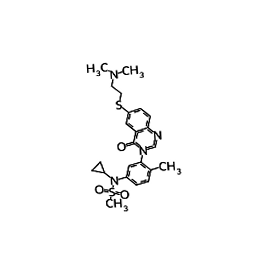 Cc1ccc(N(C2CC2)S(C)(=O)=O)cc1-n1cnc2ccc(SCCN(C)C)cc2c1=O